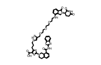 O=C1CCC(N2Cc3c(NCCOCCOCCOCc4cn(CCCc5sc(N6CCc7cccc(C(=O)Nc8nc9ccccc9s8)c7C6)nc5C(=O)O)nn4)cccc3C2=O)C(=O)N1